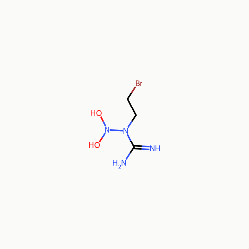 N=C(N)N(CCBr)N(O)O